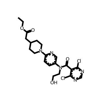 CCOC(=O)CC1CCN(c2ccc(N(CCO)C(=O)c3c(Cl)ncnc3Cl)cn2)CC1